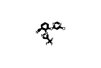 N#Cc1cccc(Oc2cc(Cl)ncn2)c1-n1cc(C(F)(F)F)cn1